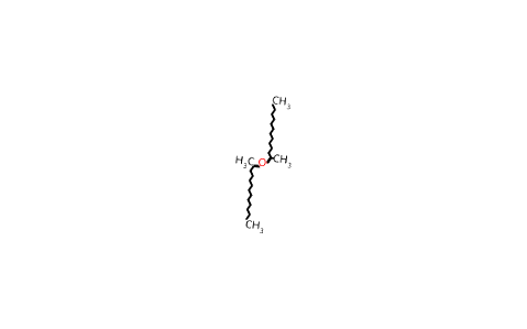 CCCCCCCCCCCCC(C)=COC=C(C)CCCCCCCCCCCC